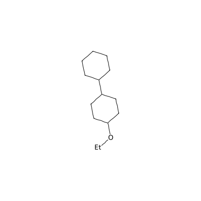 CCOC1CCC(C2CCCCC2)CC1